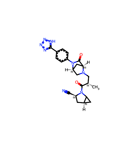 C[C@@H](CN1C[C@@H]2C[C@H]1C(=O)N2c1ccc(-c2nnn[nH]2)cc1)C(=O)N1C2C[C@H]2C[C@H]1C#N